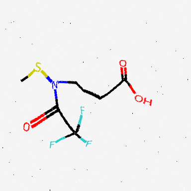 CSN(CCC(=O)O)C(=O)C(F)(F)F